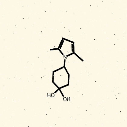 Cc1ccc(C)n1C1CCC(O)(O)CC1